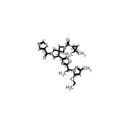 CCOc1cc(C)nn1C(C)c1nc(C2CN(C(=O)c3cncs3)CC23CN(C(=O)[C@H]2CC2(C)C)C3)no1